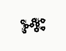 c1ccc(-c2nc3cccc(-c4cccc(-c5cc(-c6ccccn6)nc(-c6ccccn6)c5)c4)c3c3cc4c5ccccc5n(-c5ccccc5)c4cc23)cc1